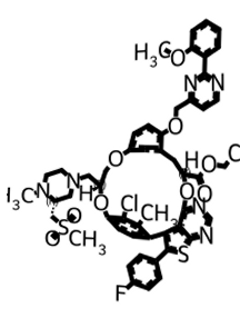 CCOC(=O)[C@H]1Cc2cc(ccc2OCc2ccnc(-c3ccccc3OC)n2)OC[C@@H](CN2CCN(C)[C@@H](CS(C)(=O)=O)C2)Oc2ccc(c(C)c2Cl)-c2c(-c3ccc(F)cc3)sc3ncnc(c23)O1